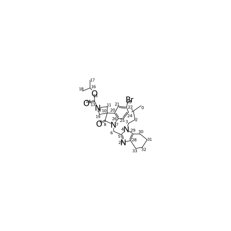 CCCCn1c(CN2C(=O)C3(CN(C(=O)OC(C)C)C3)c3cc(Br)ccc32)nc2c1CCCC2